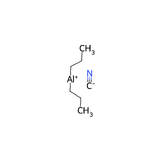 CC[CH2][Al+][CH2]CC.[C-]#N